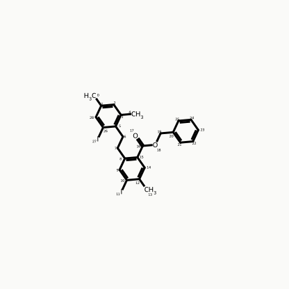 Cc1cc(C)c(CCc2cc(I)c(C)cc2C(=O)OCc2ccccc2)c(I)c1